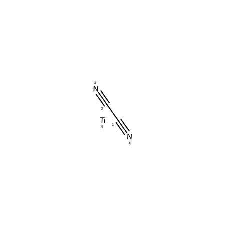 N#CC#N.[Ti]